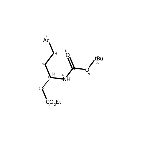 CCOC(=O)C[C@H](CCC(C)=O)NC(=O)OC(C)(C)C